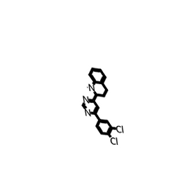 Clc1ccc(-c2cc(C3CCc4ccccc4[N]3)ncn2)cc1Cl